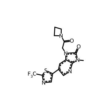 Cn1c(=O)n(CC(=O)N2CCC2)c2cc(-c3cnc(C(F)(F)F)s3)cnc21